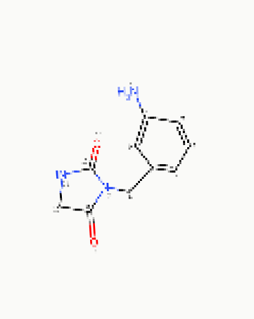 Nc1cccc(CN2C(=O)CNC2=O)c1